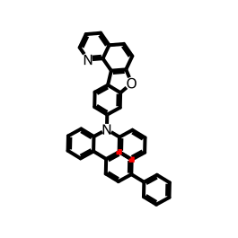 c1ccc(-c2ccc(-c3ccccc3N(c3ccccc3)c3ccc4c(c3)oc3ccc5cccnc5c34)cc2)cc1